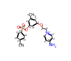 Cc1cc(OCC[n+]2ccc(N)cc2)cc(OS(=O)(=O)c2ccc(C#N)cc2)c1